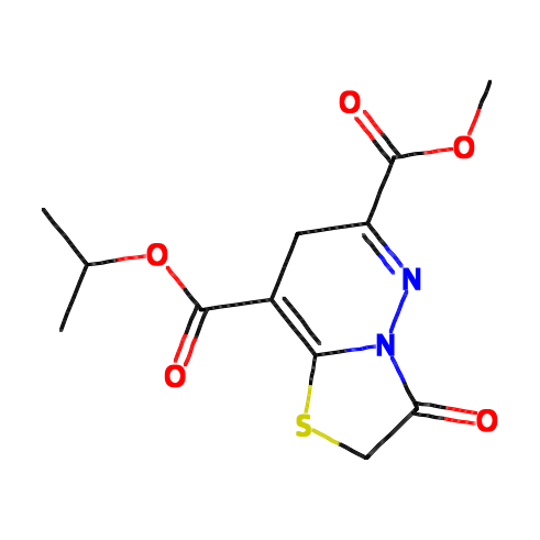 COC(=O)C1=NN2C(=O)CSC2=C(C(=O)OC(C)C)C1